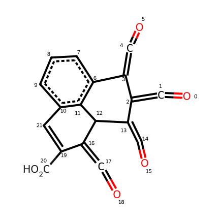 O=C=C1C(=C=O)c2cccc3c2C(C1=C=O)C(=C=O)C(C(=O)O)=C3